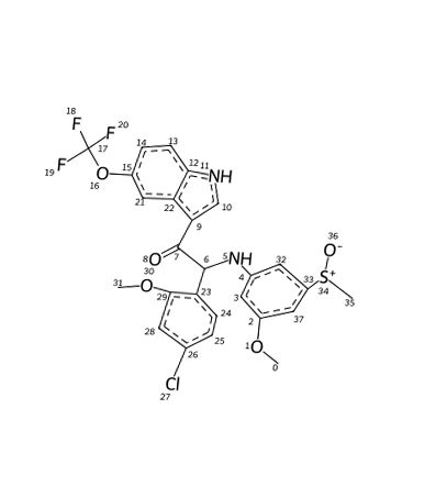 COc1cc(NC(C(=O)c2c[nH]c3ccc(OC(F)(F)F)cc23)c2ccc(Cl)cc2OC)cc([S+](C)[O-])c1